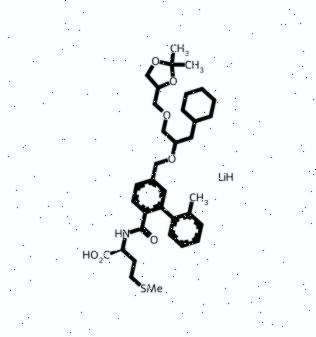 CSCC[C@H](NC(=O)c1ccc(COC(COCC2COC(C)(C)O2)CC2CCCCC2)cc1-c1ccccc1C)C(=O)O.[LiH]